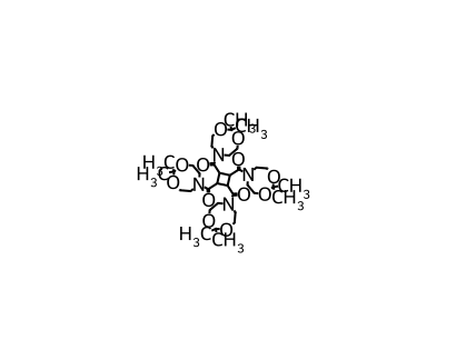 CC1(C)OCCN(C(=O)C2C(C(=O)N3CCOC(C)(C)OCC3)C(C(=O)N3CCOC(C)(C)OCC3)C2C(=O)N2CCOC(C)(C)OCC2)CCO1